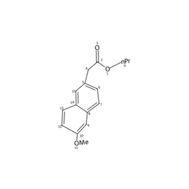 CCCOC(=O)Cc1ccc2cc(OC)ccc2c1